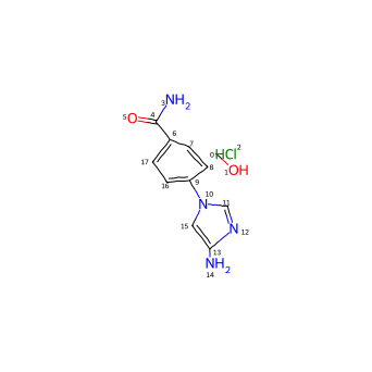 CO.Cl.NC(=O)c1ccc(-n2cnc(N)c2)cc1